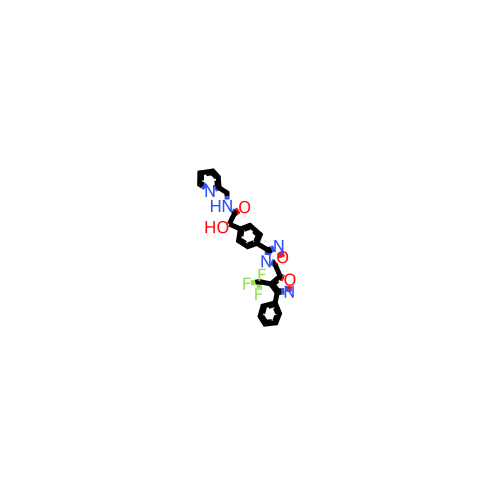 O=C(NCc1ccccn1)C(O)c1ccc(-c2noc(-c3onc(-c4ccccc4)c3C(F)(F)F)n2)cc1